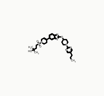 CCCc1cnc(N2CCC(Oc3nc4ccc(C5=CCN(S(=O)(=O)CCC(C)(C)O)CC5)cc4s3)CC2)nc1